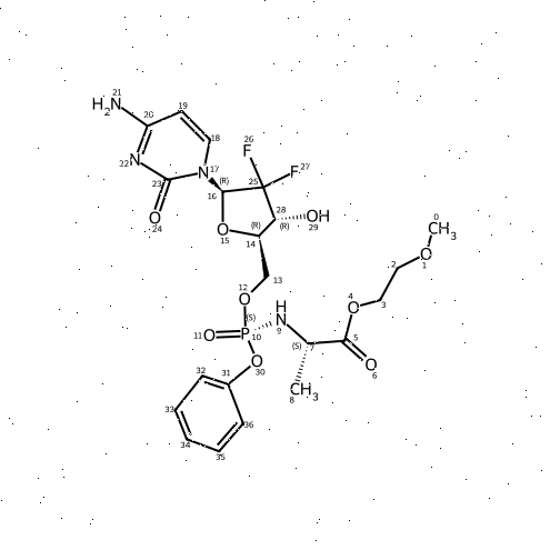 COCCOC(=O)[C@H](C)N[P@](=O)(OC[C@H]1O[C@@H](n2ccc(N)nc2=O)C(F)(F)[C@@H]1O)Oc1ccccc1